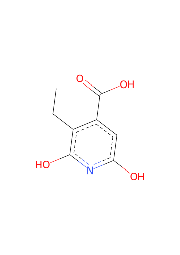 CCc1c(C(=O)O)cc(O)nc1O